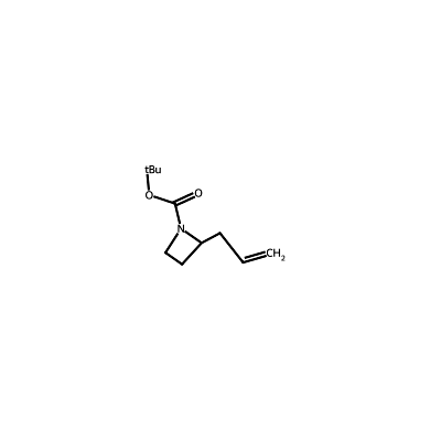 C=CCC1CCN1C(=O)OC(C)(C)C